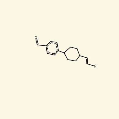 O=Cc1ccc(C2CCC(/C=C/F)CC2)cc1